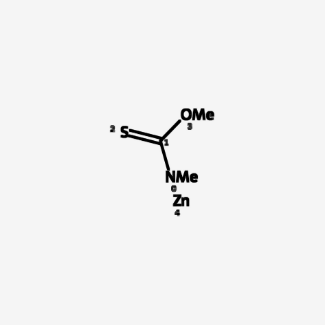 CNC(=S)OC.[Zn]